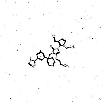 CCCCc1cn(-c2c(C=O)ccn2CC)c(=O)n1CC1(c2cccc(-c3nnn[nH]3)c2)C=CN=CC1